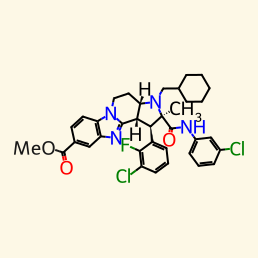 COC(=O)c1ccc2c(c1)nc1n2CC[C@H]2[C@@H]1[C@H](c1cccc(Cl)c1F)[C@](C)(C(=O)Nc1cccc(Cl)c1)N2CC1CCCCC1